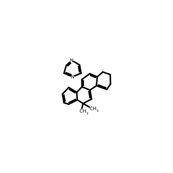 CC1(C)C=c2c(ccc3c2=CCCC3)-c2ccccc21.c1cnccn1